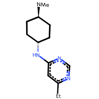 CCc1cc(N[C@H]2CC[C@H](NC)CC2)ncn1